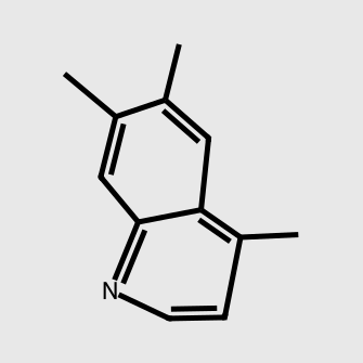 Cc1cc2nccc(C)c2cc1C